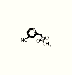 CS(=O)(=O)Cc1cc(C#N)ccn1